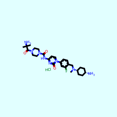 CN(Cc1ccc(-n2ccc(NC(=O)N3CCN(C(=O)C(C)(C)N)CC3)nc2=O)cc1F)[C@H]1CC[C@H](N)CC1.Cl